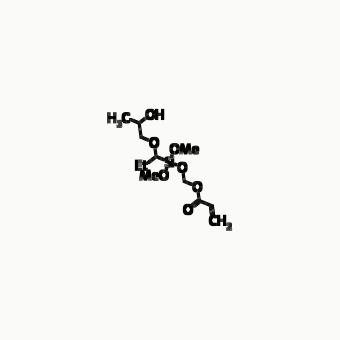 C=CC(=O)OCO[Si](OC)(OC)C(CC)OCC(C)O